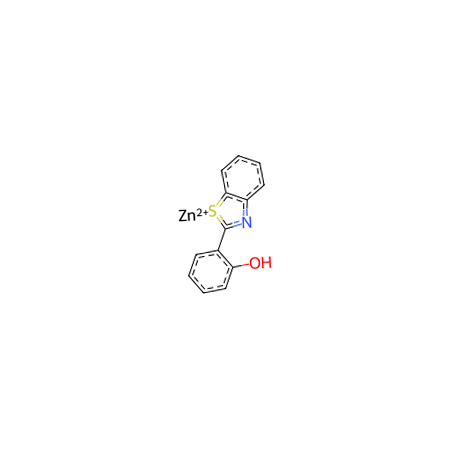 Oc1ccccc1-c1nc2ccccc2s1.[Zn+2]